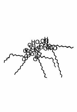 CCCCCCCCCCCCCCCC(=O)OC(CCCCCCCCCCC)CC(=O)NC1C(O)OC(COC2OC(CO)C(OP=O)C(OC(=O)CC(CCCCCCCCCCC)OC(=O)CCCCCCCCCCCCC)C2NC(=O)CC(CCCCCCCCCCC)OC(=O)CCCCCCCCCCC)C(O)C1O